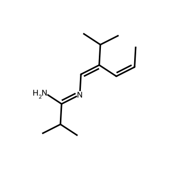 C\C=C/C(=C\N=C(/N)C(C)C)C(C)C